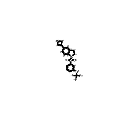 O=S(=O)(c1cccc(OC(F)(F)F)c1)N1CCc2cc(C3CNC3)ccc21